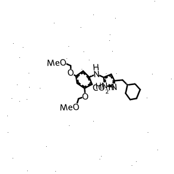 COCOc1cc(Nc2cc(CC3CCCCC3)n[nH]2)c(C(=O)O)c(OCOC)c1